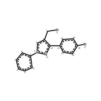 BrCc1cn(-c2ccccc2)nc1-c1ccc(Br)cc1